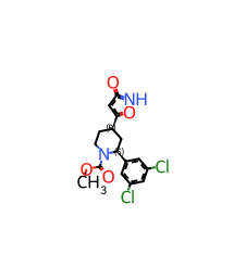 COC(=O)N1CC[C@@H](c2cc(=O)[nH]o2)C[C@H]1c1cc(Cl)cc(Cl)c1